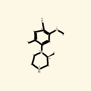 COc1cc(N2CCNC[C@@H]2C)c(C)cc1F